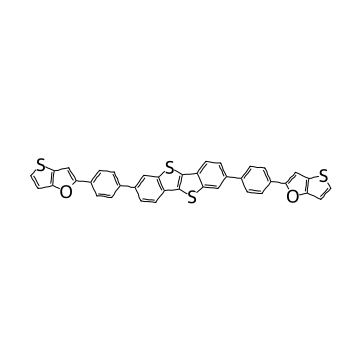 c1cc2oc(-c3ccc(-c4ccc5c(c4)sc4c6ccc(-c7ccc(-c8cc9sccc9o8)cc7)cc6sc54)cc3)cc2s1